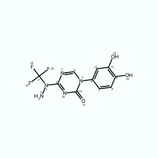 NN(c1ncn(-c2ccc(O)c(O)c2)c(=O)n1)C(F)(F)F